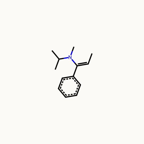 C/C=C(/c1ccccc1)N(C)C(C)C